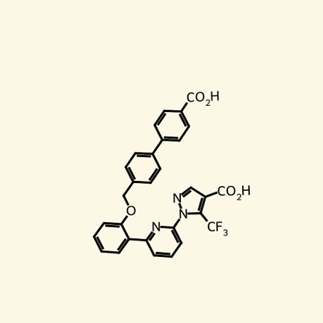 O=C(O)c1ccc(-c2ccc(COc3ccccc3-c3cccc(-n4ncc(C(=O)O)c4C(F)(F)F)n3)cc2)cc1